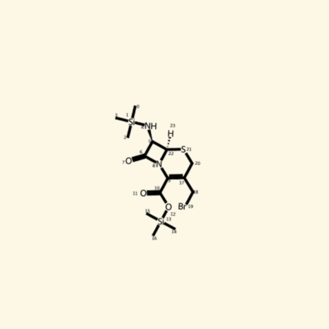 C[Si](C)(C)N[C@@H]1C(=O)N2C(C(=O)O[Si](C)(C)C)=C(CBr)CS[C@H]12